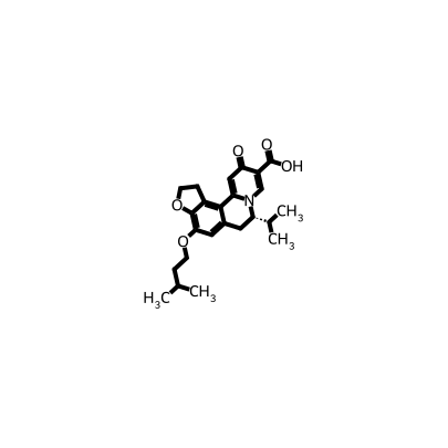 CC(C)CCOc1cc2c(c3c1OCC3)-c1cc(=O)c(C(=O)O)cn1[C@H](C(C)C)C2